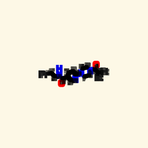 CCC(CC)C(=O)N1CCN(c2ccc(C(=O)NCCC(C)C)cn2)CC1